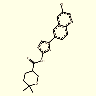 CC1(C)CCC(C(=O)Nc2ncc(-c3ccc4nnc(Cl)cc4c3)s2)CO1